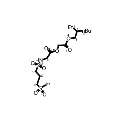 CCCCC(CC)COC(=O)COC(=O)CNS(=O)(=O)CCCS(=O)(=O)I